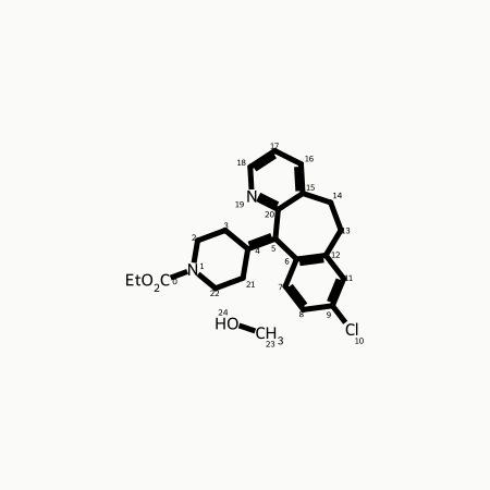 CCOC(=O)N1CCC(=C2c3ccc(Cl)cc3CCc3cccnc32)CC1.CO